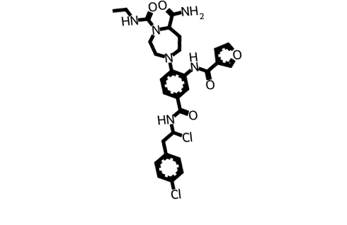 CCNC(=O)N1CCN(c2ccc(C(=O)NC(Cl)Cc3ccc(Cl)cc3)cc2NC(=O)c2ccoc2)CCC1C(N)=O